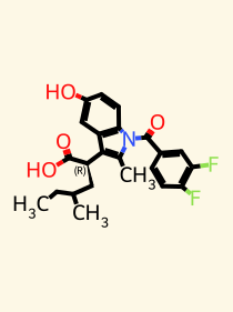 CCC(C)C[C@@H](C(=O)O)c1c(C)n(C(=O)c2ccc(F)c(F)c2)c2ccc(O)cc12